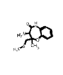 CSCC1(C)Oc2ccccc2NC(=O)C1N